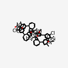 CC1=CC2=C(C=CC=CC2c2cc(C)c([Si](C)(C)C)c(Cl)c2)[C]12[SiH](C)[C]1(C(C)=CC3=C1C=CC=CC3c1cc(C)c([Si](C)(C)C)c(Cl)c1)[Hf]21([Cl])([Cl])[C]2(C(C)=CC3=C2C=CC=CC3c2cc(C)c([Si](C)(C)C)c(Cl)c2)[SiH](C)[C]12C(C)=CC1=C2C=CC=CC1c1cc(C)c([Si](C)(C)C)c(Cl)c1